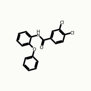 O=C(Nc1ccccc1Oc1ccccc1)c1ccc(Cl)c(Cl)c1